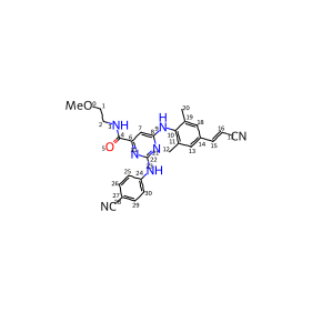 COCCNC(=O)c1cc(Nc2c(C)cc(/C=C/C#N)cc2C)nc(Nc2ccc(C#N)cc2)n1